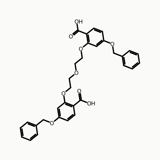 O=C(O)c1ccc(OCc2ccccc2)cc1OCCOCCOc1cc(OCc2ccccc2)ccc1C(=O)O